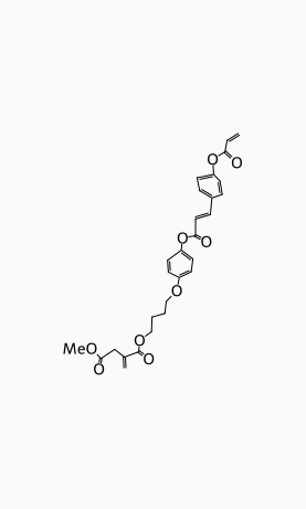 C=CC(=O)Oc1ccc(/C=C/C(=O)Oc2ccc(OCCCCOC(=O)C(=C)CC(=O)OC)cc2)cc1